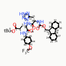 CC(C)(C)OC(=O)CC[C@H](NC(=O)[C@H](Cc1nn[nH]n1)NC(=O)OCC1c2ccccc2-c2ccccc21)C(=O)Nc1ccc(OC(F)(F)F)cc1